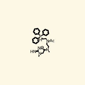 CC(=O)N(CCN(C)C(=O)CN(C)C(=N)N)CC[PH](c1ccccc1)(c1ccccc1)c1ccccc1